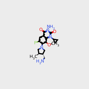 COc1c(N2C[C@H](CN)[C@@H](C)C2)c(F)cc2c(=O)n(N)c(=O)n(C3CC3)c12